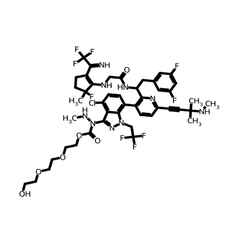 CNN(C(=O)OCCOCCOCCO)c1nn(CC(F)(F)F)c2c(-c3ccc(C#CC(C)(C)NC)nc3C(Cc3cc(F)cc(F)c3)NC(=O)CNC3=C(C(=N)C(F)(F)F)CCC3(C)F)ccc(Cl)c12